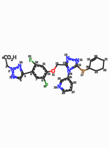 O=C(O)Cn1ncc(-c2cc(F)c(OCc3nnc(SC4C=CCCC4)n3-c3cccnc3)cc2F)n1